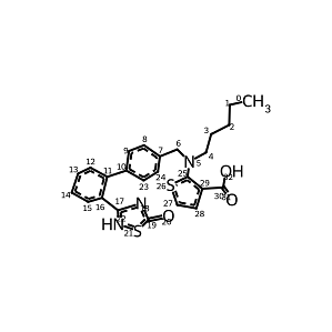 CCCCCN(Cc1ccc(-c2ccccc2-c2nc(=O)s[nH]2)cc1)c1sccc1C(=O)O